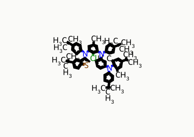 Cc1cc(N(c2ccc(C(C)(C)C)cc2)c2cccc(N(c3ccc(C(C)(C)C)cc3)c3c(C)cc(C(C)C)cc3C)c2)c(Cl)c(N(c2ccc(C(C)(C)C)cc2)c2csc3ccc(C(C)(C)C)cc23)c1